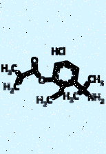 C=C(C)C(=O)Oc1cccc(C(C)(C)N)c1CC.Cl